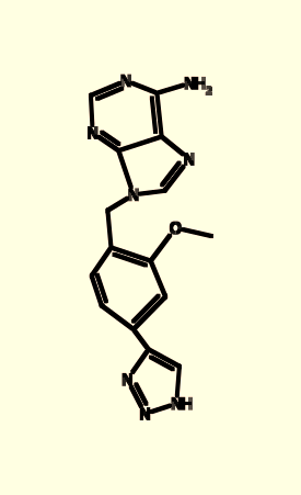 COc1cc(-c2c[nH]nn2)ccc1Cn1cnc2c(N)ncnc21